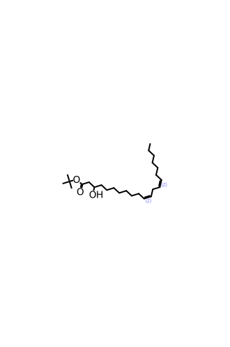 CCCCCC/C=C\C/C=C\CCCCCCCC(O)CC(=O)OC(C)(C)C